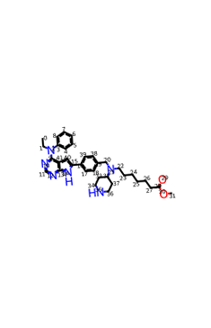 CCN(c1ccccc1)c1ncnc2[nH]c(-c3ccc(CN(CCCCCCC(=O)OC)C4CCNCC4)cc3)cc12